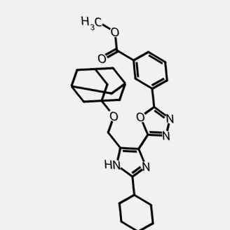 COC(=O)c1cccc(-c2nnc(-c3nc(C4CCCCC4)[nH]c3COC34CC5CC(CC(C5)C3)C4)o2)c1